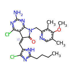 CCCCc1nc(Cl)c(/C=C2\C(=O)N(Cc3ncc(C)c(OC)c3C)c3nc(N)nc(Cl)c32)[nH]1